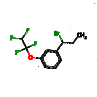 CCC(Br)c1cccc(OC(F)(F)C(F)F)c1